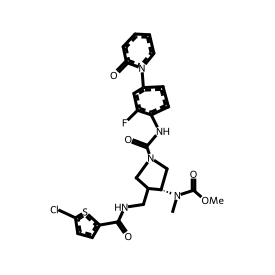 COC(=O)N(C)[C@H]1CN(C(=O)Nc2ccc(-n3ccccc3=O)cc2F)CC1CNC(=O)c1ccc(Cl)s1